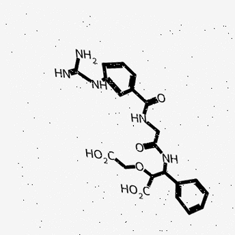 N=C(N)Nc1cccc(C(=O)NCC(=O)NC(c2ccccc2)C(OCC(=O)O)C(=O)O)c1